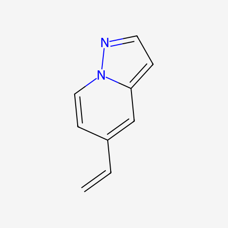 C=Cc1ccn2nccc2c1